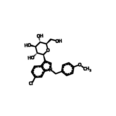 COc1ccc(Cn2cc([C@@H]3O[C@H](CO)[C@@H](O)[C@H](O)[C@H]3O)c3ccc(Cl)cc32)cc1